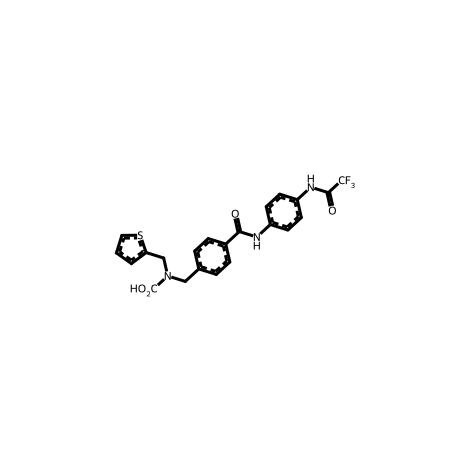 O=C(Nc1ccc(NC(=O)C(F)(F)F)cc1)c1ccc(CN(Cc2cccs2)C(=O)O)cc1